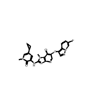 Cn1cc(C2CC2)cc(Nc2nc3ncc(Oc4cnn5cc(F)ccc45)c(Cl)c3n2C)c1=O